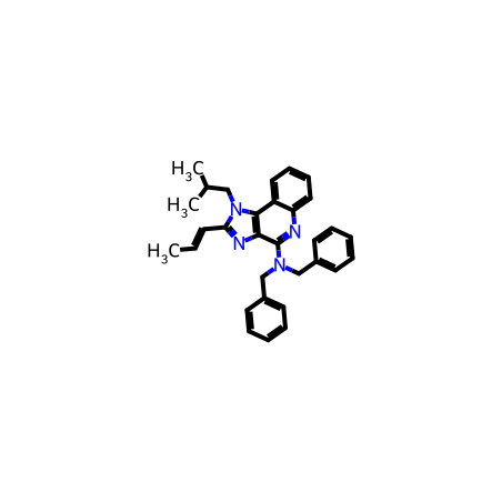 C/C=C/c1nc2c(N(Cc3ccccc3)Cc3ccccc3)nc3ccccc3c2n1CC(C)C